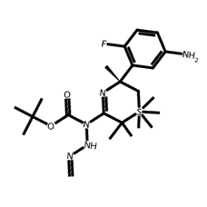 C=NNN(C(=O)OC(C)(C)C)C1=N[C@](C)(c2cc(N)ccc2F)CS(C)(C)(C)(C)C1(C)C